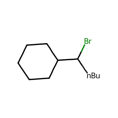 [CH2]CCCC(Br)C1CCCCC1